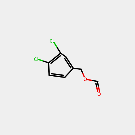 O=[C]OCc1ccc(Cl)c(Cl)c1